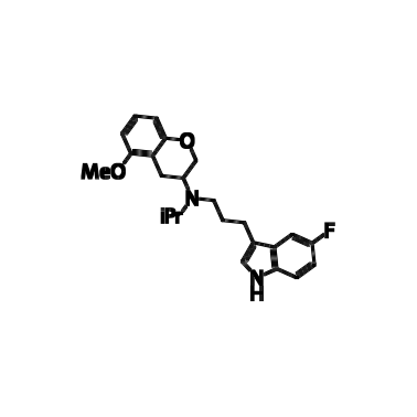 COc1cccc2c1CC(N(CCCc1c[nH]c3ccc(F)cc13)C(C)C)CO2